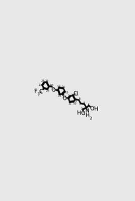 NC(CO)(CO)CCCc1ccc(Oc2cccc(OCc3cccc(C(F)(F)F)c3)c2)cc1Cl